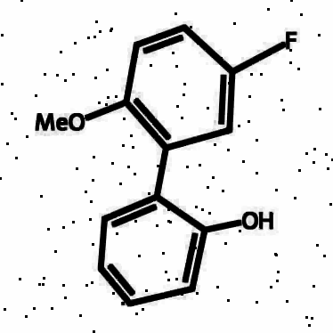 COc1ccc(F)cc1-c1cc[c]cc1O